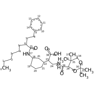 CCCCCCC(CCc1ccccc1)C(=O)NC1CCCC(C(CNC(=O)C2OC(C)(C)OCC2(C)C)C(=O)O)C1